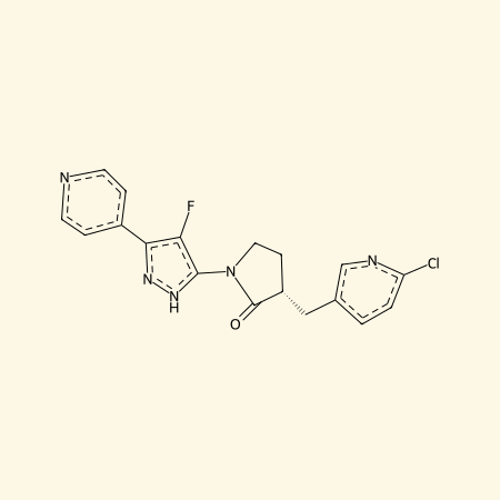 O=C1[C@@H](Cc2ccc(Cl)nc2)CCN1c1[nH]nc(-c2ccncc2)c1F